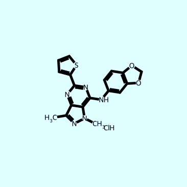 Cc1nn(C)c2c(Nc3ccc4c(c3)OCO4)nc(-c3cccs3)nc12.Cl